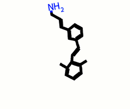 Cc1cccc(C)c1C=Cc1cccc(C=CCN)c1